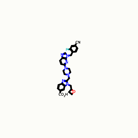 N#Cc1ccc(Cn2cnc3ccc(N4CCN(Cc5nc6ccc(C(=O)O)cc6n5CC5CCO5)CC4)nc32)c(F)c1